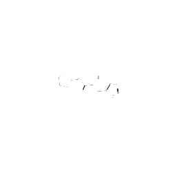 N[C@@H](Cc1cnc[nH]1)C(=O)NC1CCCC1